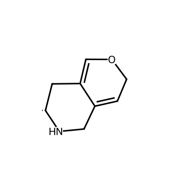 [CH]1CC2=COCC=C2CN1